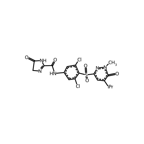 CC(C)c1cc(S(=O)(=O)c2c(Cl)cc(NC(=O)C3=NCC(=O)N3)cc2Cl)nn(C)c1=O